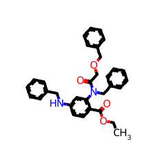 CCOC(=O)c1ccc(NCc2ccccc2)cc1N(Cc1ccccc1)C(=O)COCc1ccccc1